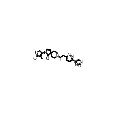 CC1=C(N2C=CC3(CCN([C@@H](C)Cc4ccc(-n5cnnn5)nn4)CC3)C2=O)COC1=O